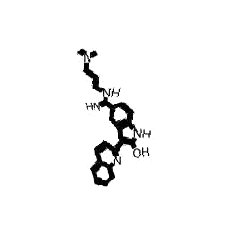 CN(C)CCCNC(=N)c1ccc2[nH]c(O)c(-c3ccc4ccccc4n3)c2c1